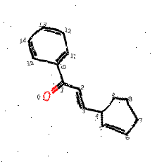 O=C(/C=C/C1C=CCCC1)c1ccccc1